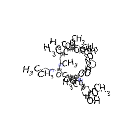 CO[C@H]1C[C@@H](C)C/C(C)=C/[C@@H](C/C=C/CC(C)C)C(=O)C[C@H](O)[C@@H](C)[C@@H](/C(C)=C/[C@@H]2CC[C@@H](O)[C@H](OC)C2)OC(=O)[C@@H]2CCCCN2C(=O)C(O)[C@]2(O)O[C@H]1[C@@H](OC)C[C@H]2C